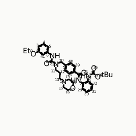 CCOc1cccc(NC(=O)N(CCCN2CCOCC2)Cc2ccc(C(=O)Nc3ccccc3NC(=O)OC(C)(C)C)cc2)c1